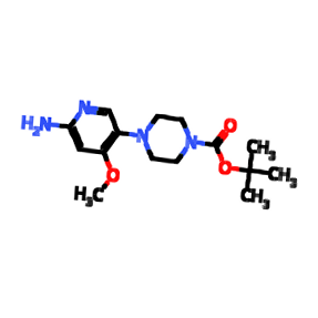 COc1cc(N)ncc1N1CCN(C(=O)OC(C)(C)C)CC1